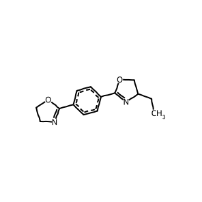 CCC1COC(c2ccc(C3=NCCO3)cc2)=N1